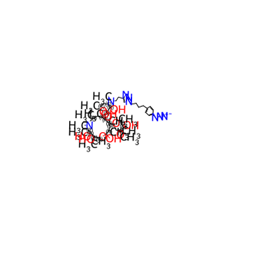 CC[C@H]1OC(O)[C@H](C)[C@@H](C2C[C@@](C)(OC)[C@@H](O)[C@H](C)O2)[C@H](C)[C@@H](O[C@@H]2O[C@H](C)C[C@H](N(C)CCc3cn(CCCCc4ccc(N=[N+]=[N-])cc4)nn3)[C@H]2O)[C@](C)(O)C[C@@H](C)CN(C)[C@H](C)[C@@H](O)[C@]1(C)O